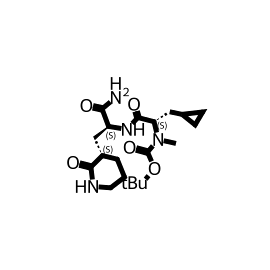 CN(C(=O)OC(C)(C)C)[C@@H](CC1CC1)C(=O)N[C@@H](C[C@@H]1CCCNC1=O)C(N)=O